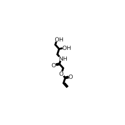 C=CC(=O)OCC(=O)NCC(O)CO